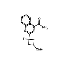 COC1CC(F)(c2cc(C(N)=O)c3ccccc3n2)C1